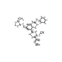 CN1CCC[C@H]1COc1nc2c(c(N3CCN(C(=O)OC(C)(C)C)[C@@H](CC#N)C3)n1)CCN(Cc1ccccc1)C2